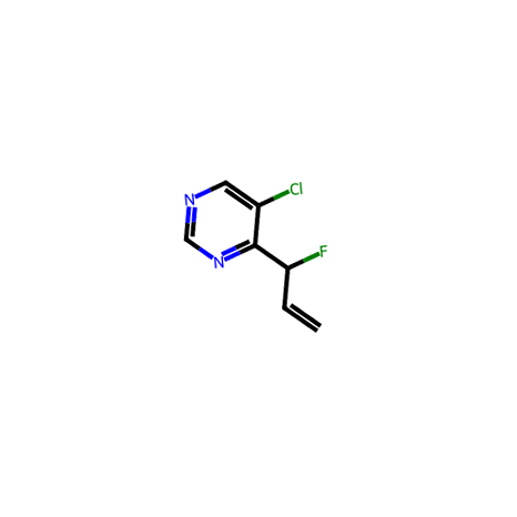 C=CC(F)c1ncncc1Cl